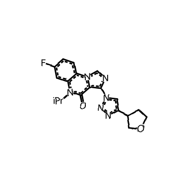 CC(C)n1c(=O)c2c(-n3cc(C4CCOC4)nn3)ncn2c2ccc(F)cc21